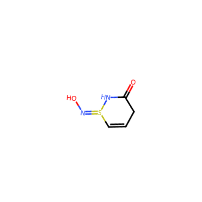 O=C1CC=CS(=NO)N1